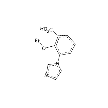 CCOc1c(C(=O)O)cccc1-n1ccnc1